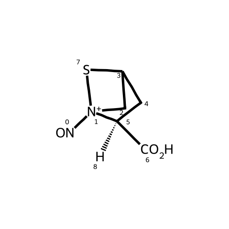 O=N[N+]12CC(C[C@H]1C(=O)O)S2